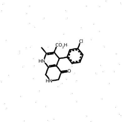 CC1=C(C(=O)O)C(c2cccc(Cl)c2)C2=C(CNCC2=O)N1